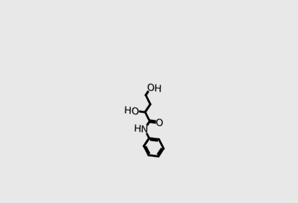 O=C(Nc1ccccc1)C(O)CCO